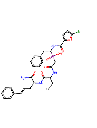 CC(C)C[C@H](NC(=O)CP(=O)(O)C(Cc1ccccc1)NC(=O)c1ccc(Br)o1)C(=O)N[C@@H](CC=Cc1ccccc1)C(N)=O